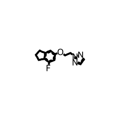 Fc1cc(OCCn2nccn2)cc2c1CCC2